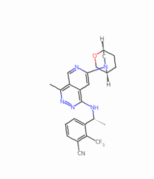 Cc1nnc(N[C@H](C)c2cccc(C#N)c2C(F)(F)F)c2cc(N3C[C@H]4CC[C@@H]3CO4)ncc12